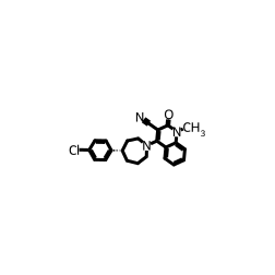 Cn1c(=O)c(C#N)c(N2CCC[C@H](c3ccc(Cl)cc3)CC2)c2ccccc21